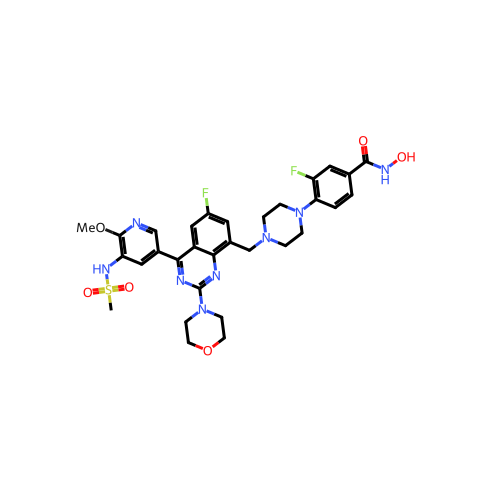 COc1ncc(-c2nc(N3CCOCC3)nc3c(CN4CCN(c5ccc(C(=O)NO)cc5F)CC4)cc(F)cc23)cc1NS(C)(=O)=O